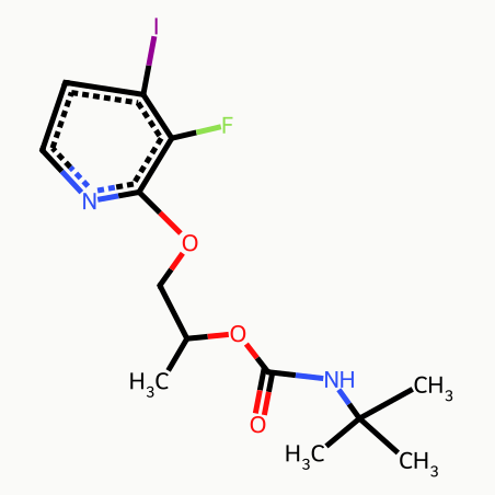 CC(COc1nccc(I)c1F)OC(=O)NC(C)(C)C